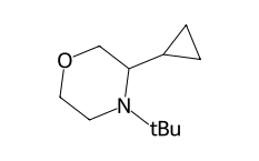 CC(C)(C)N1CCOCC1C1CC1